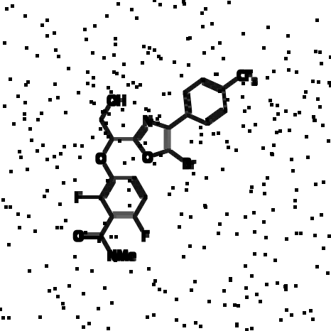 CNC(=O)c1c(F)ccc(OC(CO)c2nc(-c3ccc(C(F)(F)F)cc3)c(Br)o2)c1F